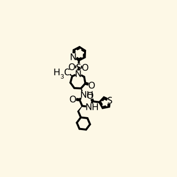 C[C@@H]1CC[C@H](NC(=O)[C@H](CC2CCCCC2)NC(=O)c2ccsc2)C(=O)CN1S(=O)(=O)c1ccccn1